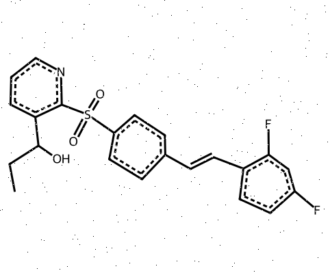 CCC(O)c1cccnc1S(=O)(=O)c1ccc(/C=C/c2ccc(F)cc2F)cc1